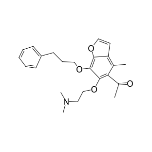 CC(=O)c1c(OCCN(C)C)c(OCCCc2ccccc2)c2occc2c1C